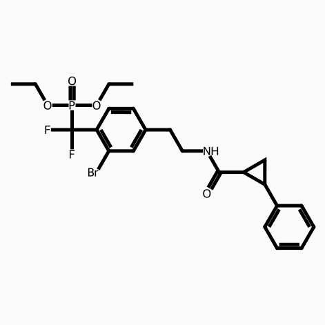 CCOP(=O)(OCC)C(F)(F)c1ccc(CCNC(=O)C2CC2c2ccccc2)cc1Br